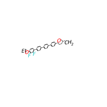 C=CC1CCC(c2ccc(-c3ccc(-c4ccc(-c5ccc(OCC)c(F)c5F)cc4)cc3)cc2)OC1